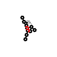 CC1(C)c2cc(-c3ccccc3)ccc2-c2ccc(N(c3ccc(-c4ccc(-c5ccccc5)cc4)cc3)c3cccc(-c4ccccc4)c3-c3ccccc3-c3ccccc3)cc21